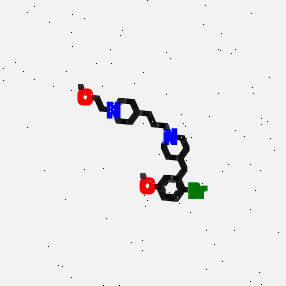 COCCN1CCC(CCCN2CCC(Cc3cc(OC)ccc3Br)CC2)CC1